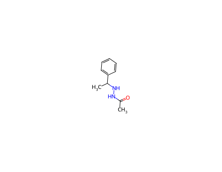 CC(=O)NNC(C)c1ccccc1